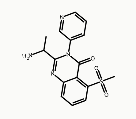 CC(N)c1nc2cccc(S(C)(=O)=O)c2c(=O)n1-c1cccnc1